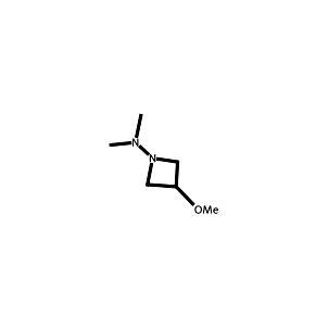 COC1CN(N(C)C)C1